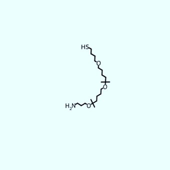 CC(C)(CCCCOC(C)(C)CCCCOCCCCS)OCCCN